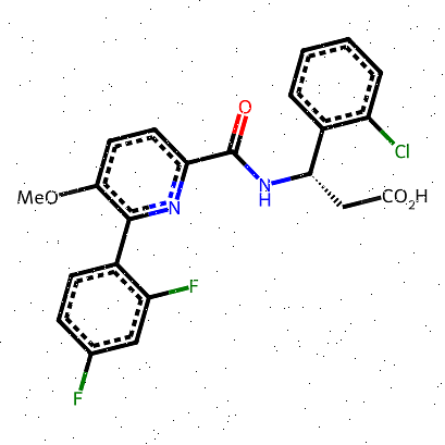 COc1ccc(C(=O)N[C@@H](CC(=O)O)c2ccccc2Cl)nc1-c1ccc(F)cc1F